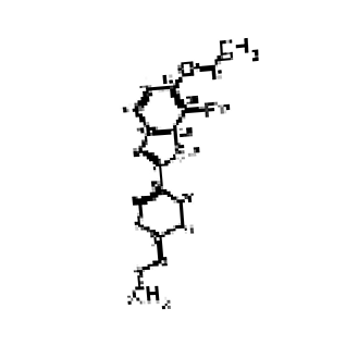 CCCC1CC=C(c2cc3ccc(OCC)c(F)c3s2)CC1